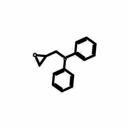 c1ccc(N(CC2CO2)c2ccccc2)cc1